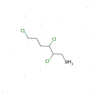 [SiH3]CC(Cl)C(Cl)CCCCl